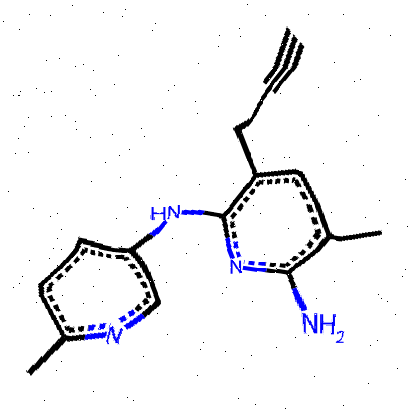 C#CCc1cc(C)c(N)nc1Nc1ccc(C)nc1